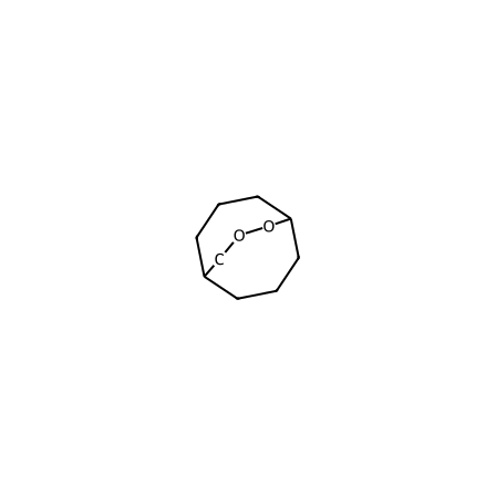 C1CC2CCCC(C1)OOC2